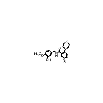 COc1ccc(CNC(=O)c2cc(Br)ccc2N2CCOCC2)cc1O